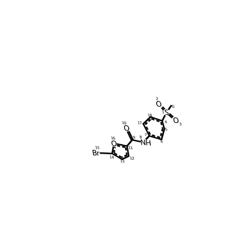 CS(=O)(=O)c1ccc(NC(=O)c2ccc(Br)o2)cc1